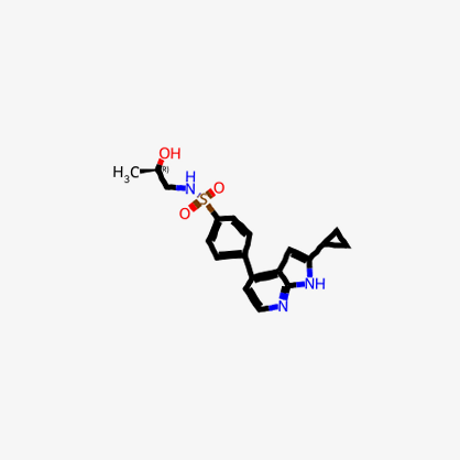 C[C@@H](O)CNS(=O)(=O)c1ccc(-c2ccnc3[nH]c(C4CC4)cc23)cc1